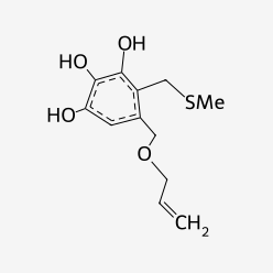 C=CCOCc1cc(O)c(O)c(O)c1CSC